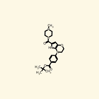 CN1CCN(C(=O)c2cc3c([nH]2)N(c2ccc(C(=O)OC(C)(C)C)cc2)CCO3)CC1